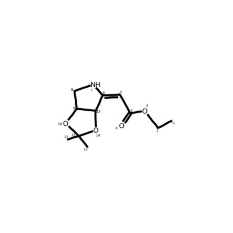 CCOC(=O)C=C1NCC2OC(C)(C)OC12